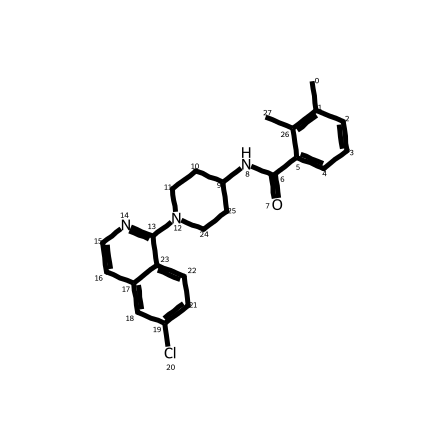 Cc1cccc(C(=O)NC2CCN(c3nccc4cc(Cl)ccc34)CC2)c1C